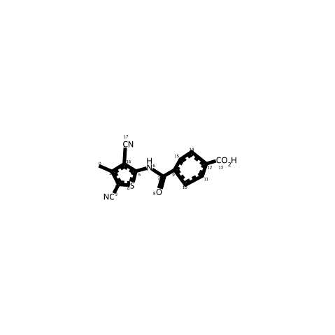 Cc1c(C#N)sc(NC(=O)c2ccc(C(=O)O)cc2)c1C#N